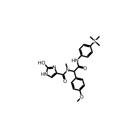 COc1ccc(C(C(=O)Nc2ccc(S(C)(C)C)cc2)N(C)C(=O)c2c[nH]c(O)n2)cc1